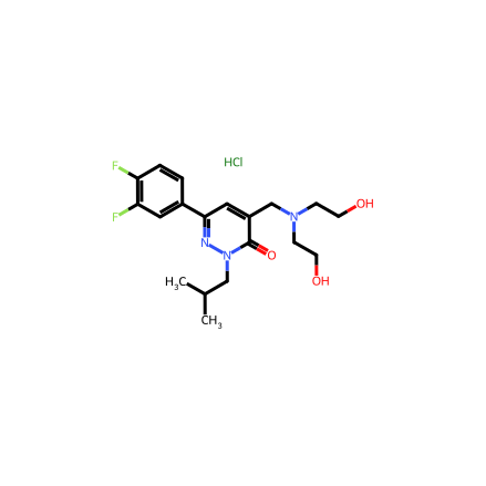 CC(C)Cn1nc(-c2ccc(F)c(F)c2)cc(CN(CCO)CCO)c1=O.Cl